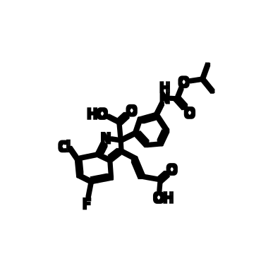 CC(C)OC(=O)Nc1cccc(C2(C(=O)O)N=c3c(Cl)cc(F)cc3=C2C=CC(=O)O)c1